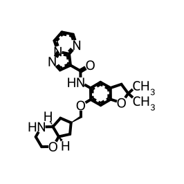 CC1(C)Cc2cc(NC(=O)c3cnn4cccnc34)c(OC[C@@H]3C[C@@H]4NCCO[C@H]4C3)cc2O1